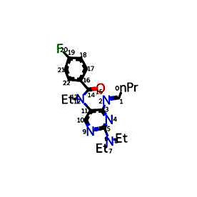 [CH2]CCC=Nc1nc(N(CC)CC)ncc1N(CC)C(=O)c1ccc(F)cc1